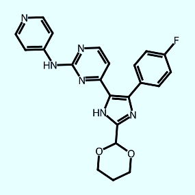 Fc1ccc(-c2nc(C3OCCCO3)[nH]c2-c2ccnc(Nc3ccncc3)n2)cc1